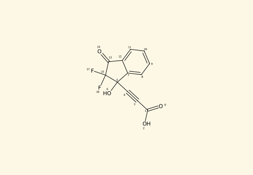 O=C(O)C#CC1(O)c2ccccc2C(=O)C1(F)F